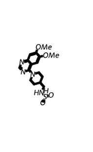 COc1cc2ncnc(N3CCC(CN[SH](=O)=O)CC3)c2cc1OC